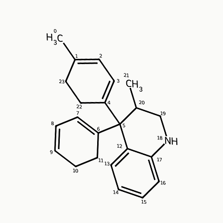 CC1=CC=C(C2(C3=CC=CCC3)c3ccccc3NCC2C)CC1